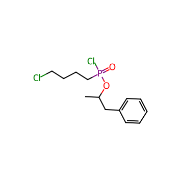 CC(Cc1ccccc1)OP(=O)(Cl)CCCCCl